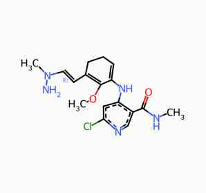 CNC(=O)c1cnc(Cl)cc1NC1=CCCC(/C=C/N(C)N)=C1OC